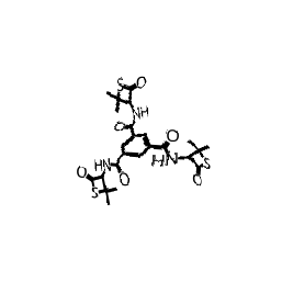 CC1(C)SC(=O)C1NC(=O)c1cc(C(=O)NC2C(=O)SC2(C)C)cc(C(=O)NC2C(=O)SC2(C)C)c1